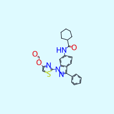 O=COc1csc(-n2nc(-c3ccccc3)c3ccc(NC(=O)C4CCCCC4)cc32)n1